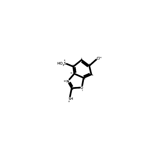 O=S(=O)(O)c1cc(Cl)cc2oc(S)nc12